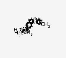 CN1CCC(Oc2ccc3c(c2)CCN(C(=O)OC(C)(C)C)CC3)CC1